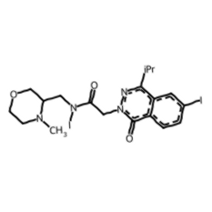 CC(C)c1nn(CC(=O)N(I)CC2COCCN2C)c(=O)c2ccc(I)cc12